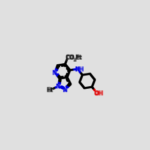 CCOC(=O)c1cnc2c(cnn2CC)c1NC1CCC(O)CC1